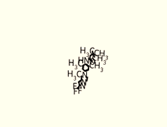 Cc1cc(N2CCn3nc(C(F)(F)F)cc3[C@@H]2C)cc(C)c1NC(=O)CC(C)(C)C